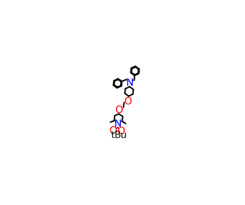 CC1CC(OCCO[C@H]2CC[C@H](N(Cc3ccccc3)Cc3ccccc3)CC2)CC(C)N1C(=O)OC(C)(C)C